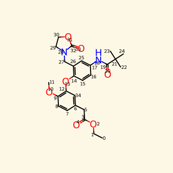 CCOC(=O)Cc1ccc(OC)c(Oc2ccc(NC(=O)C(C)(C)C)cc2CN2CCOC2=O)c1